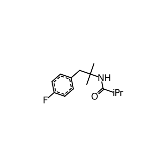 CC(C)C(=O)NC(C)(C)Cc1ccc(F)cc1